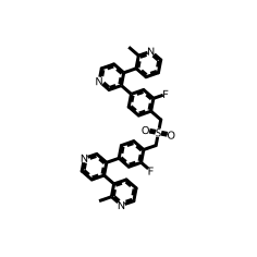 Cc1ncccc1-c1ccncc1-c1ccc(CS(=O)(=O)Cc2ccc(-c3cnccc3-c3cccnc3C)cc2F)c(F)c1